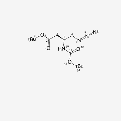 CC(C)(C)OC(=O)C[C@@H](CN=[N+]=[N-])NC(=O)OC(C)(C)C